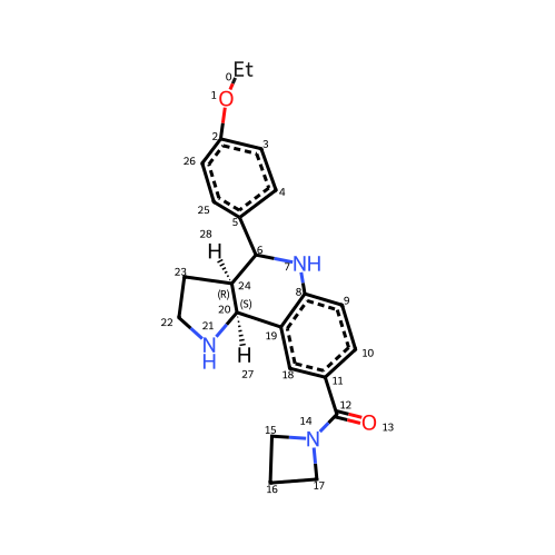 CCOc1ccc(C2Nc3ccc(C(=O)N4CCC4)cc3[C@H]3NCC[C@@H]23)cc1